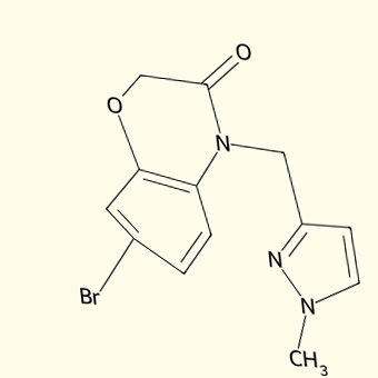 Cn1ccc(CN2C(=O)COc3cc(Br)ccc32)n1